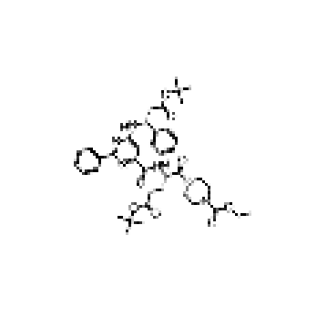 CCOC(=O)N1CCN(C(=O)[C@H](CCC(=O)OC(C)(C)C)NC(=O)c2cc(N[C@H](CC(=O)OC(C)(C)C)c3ccccc3)nc(-c3ccccc3)n2)CC1